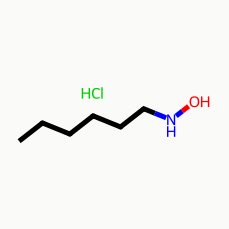 CCCCCCNO.Cl